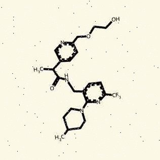 CC1CCN(c2nc(C(F)(F)F)ccc2CNC(=O)C(C)c2ccc(COCCO)nc2)CC1